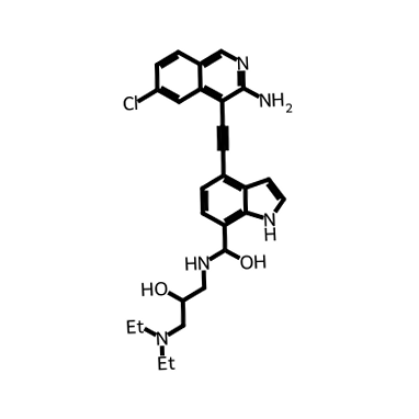 CCN(CC)CC(O)CNC(O)c1ccc(C#Cc2c(N)ncc3ccc(Cl)cc23)c2cc[nH]c12